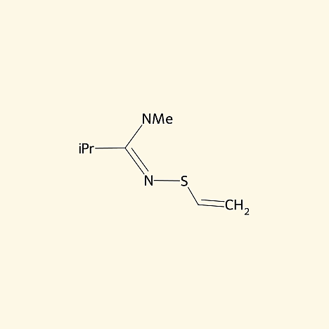 C=CS/N=C(\NC)C(C)C